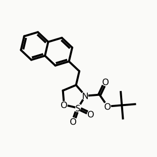 CC(C)(C)OC(=O)N1C(Cc2ccc3ccccc3c2)COS1(=O)=O